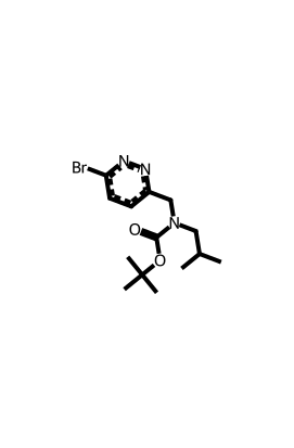 CC(C)CN(Cc1ccc(Br)nn1)C(=O)OC(C)(C)C